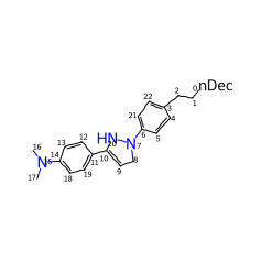 CCCCCCCCCCCCc1ccc(N2CC=C(c3ccc(N(C)C)cc3)N2)cc1